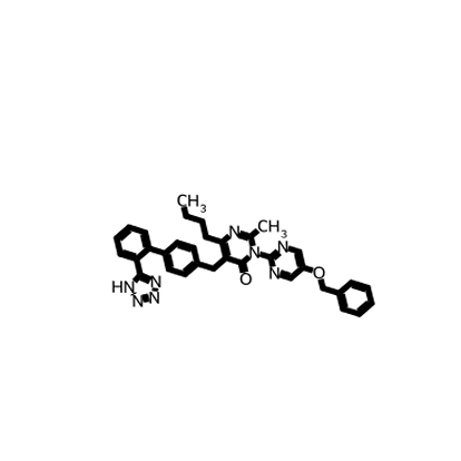 CCCCc1nc(C)n(-c2ncc(OCc3ccccc3)cn2)c(=O)c1Cc1ccc(-c2ccccc2-c2nnn[nH]2)cc1